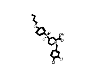 CCCCOc1ccc(S(=O)(=O)C2CCN(Cc3ccc(Cl)c(Cl)c3)C(C(=O)O)C2)cc1